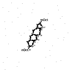 CCCCCCCCc1cc2cc3cc4cc(CCCCCCCC)sc4cc3cc2s1